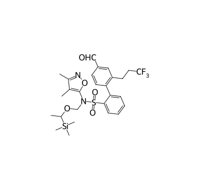 Cc1noc(N(COC(C)[Si](C)(C)C)S(=O)(=O)c2ccccc2-c2ccc(C=O)cc2CCC(F)(F)F)c1C